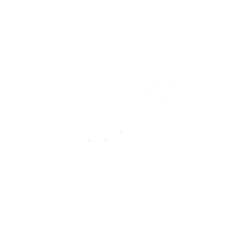 CCCCC(=O)OCCOCCOc1ccccc1